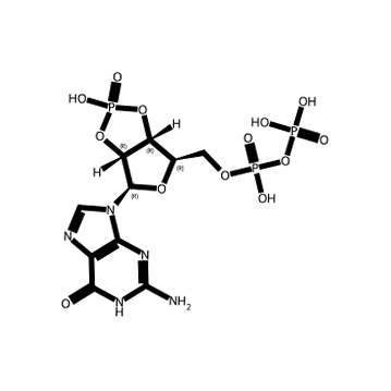 Nc1nc2c(ncn2[C@@H]2O[C@H](COP(=O)(O)OP(=O)(O)O)[C@H]3OP(=O)(O)O[C@H]32)c(=O)[nH]1